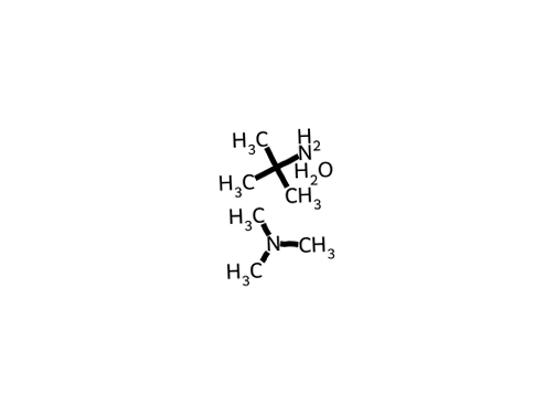 CC(C)(C)N.CN(C)C.O